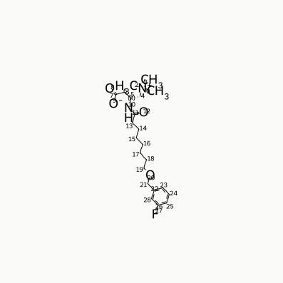 C[N+](C)(C)C[C@@H](CC(=O)[O-])NC(=O)CCCCCCCOCc1cccc(F)c1